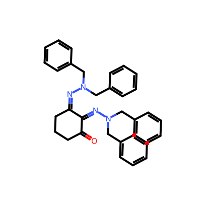 O=C1CCCC(=N/N(Cc2ccccc2)Cc2ccccc2)/C1=N/N(Cc1ccccc1)Cc1ccccc1